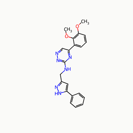 COc1cccc(-c2cnnc(NCc3cc(-c4ccccc4)[nH]n3)n2)c1OC